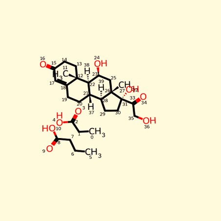 CCC(=O)O.CCCC(=O)O.C[C@]12CCC(=O)C=C1CC[C@@H]1[C@@H]2[C@@H](O)C[C@@]2(C)[C@H]1CC[C@]2(O)C(=O)CO